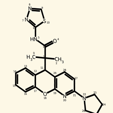 CC(C)(C(=O)Nc1nncs1)C1c2ccccc2Oc2nc(N3CCCC3)ccc21